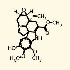 CC[C@@]12CC(C(=O)OC)=C3Nc4c(cc(O)c(OC)c4OC)[C@@]34CCN(C[C@H]3O[C@H]31)C24